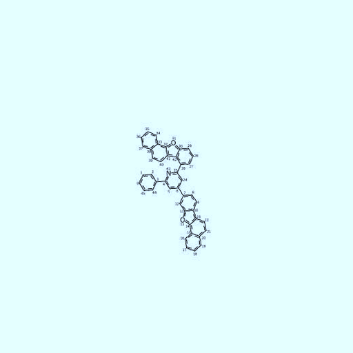 c1ccc(-c2cc(-c3ccc4c(c3)oc3c5ccccc5ccc43)cc(-c3cccc4oc5c6ccccc6ccc5c34)n2)cc1